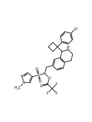 Cn1cc(S(=O)(=O)N(Cc2ccc3c(c2)C(C2(c4ccc(Cl)cc4)CCC2)NCC3)OC(=O)C(F)(F)F)cn1